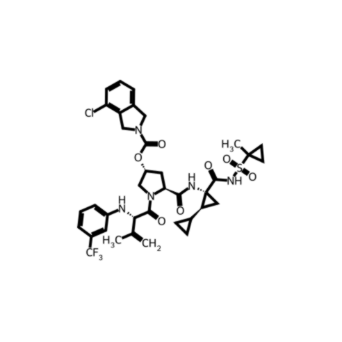 C=C(C)[C@H](Nc1cccc(C(F)(F)F)c1)C(=O)N1C[C@H](OC(=O)N2Cc3cccc(Cl)c3C2)C[C@H]1C(=O)N[C@]1(C(=O)NS(=O)(=O)C2(C)CC2)C[C@H]1C1CC1